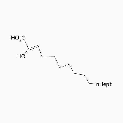 CCCCCCCCCCCCCCC=C(O)C(=O)O